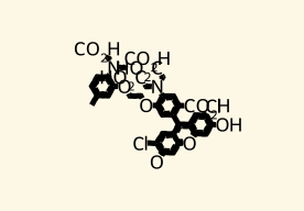 Cc1ccc(N(CC(=O)O)CC(=O)O)c(OCCOc2cc(-c3c4cc(Cl)c(=O)cc-4oc4cc(O)c(Cl)cc34)c(C(=O)O)cc2N(CC(=O)O)CC(=O)O)c1